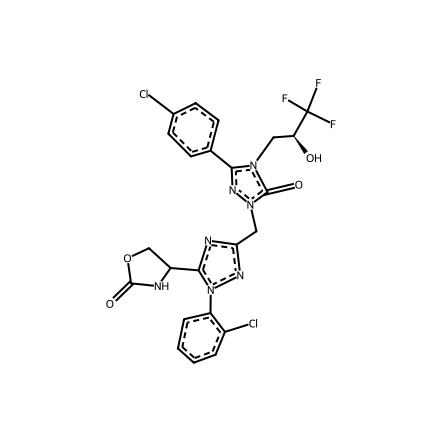 O=C1NC(c2nc(Cn3nc(-c4ccc(Cl)cc4)n(C[C@H](O)C(F)(F)F)c3=O)nn2-c2ccccc2Cl)CO1